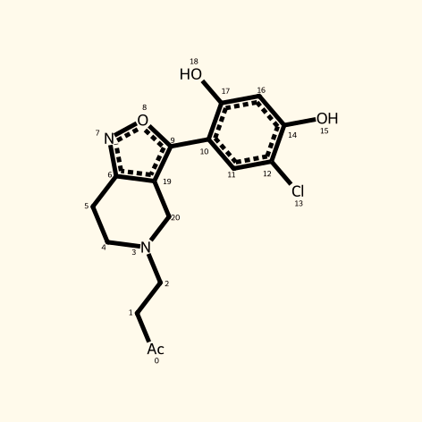 CC(=O)CCN1CCc2noc(-c3cc(Cl)c(O)cc3O)c2C1